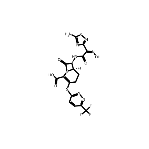 Nc1nc(/C(=N/O)C(=O)N[C@@H]2C(=O)N3C(C(=O)O)=C(Sc4ccc(C(F)(F)F)nn4)CC[C@H]23)ns1